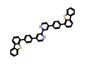 c1ccc2c(c1)sc1c(-c3ccc(-c4ccnc(-c5cc(-c6ccc(-c7cccc8c7sc7ccccc78)cc6)ccn5)c4)cc3)cccc12